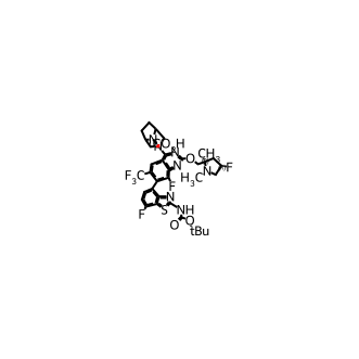 CN1C[C@H](F)C[C@]1(C)COc1nc(N2CC3CCC(C2)N3C(=O)O)c2cc(C(F)(F)F)c(-c3ccc(F)c4sc(NC(=O)OC(C)(C)C)nc34)c(F)c2n1